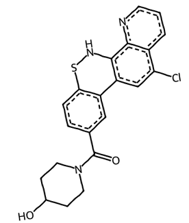 O=C(c1ccc2c(c1)-c1cc(Cl)c3cccnc3c1NS2)N1CCC(O)CC1